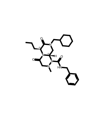 CCC[C@H]1C(=O)N(CC2CCCCC2)C[C@H]2N1C(=O)CN(C)N2C(=O)NCc1ccccc1